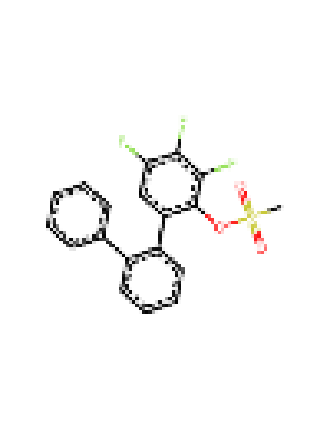 CS(=O)(=O)Oc1c(-c2ccccc2-c2ccccc2)cc(F)c(F)c1F